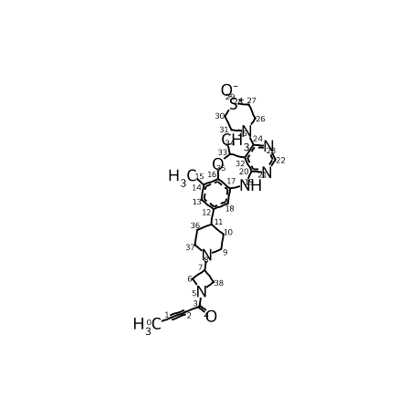 CC#CC(=O)N1CC(N2CCC(c3cc(C)c4c(c3)Nc3ncnc(N5CC[S+]([O-])CC5)c3C(C)O4)CC2)C1